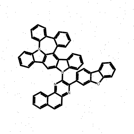 c1ccc2c(c1)-c1ccccc1-n1c3ccccc3c3cc4c(c-2c31)c1ccccc1n4-c1nc2c(ccc3ccccc32)nc1-c1ccc2c(c1)oc1ccccc12